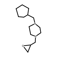 C1CCC(CN2CCN(CC3CO3)CC2)CC1